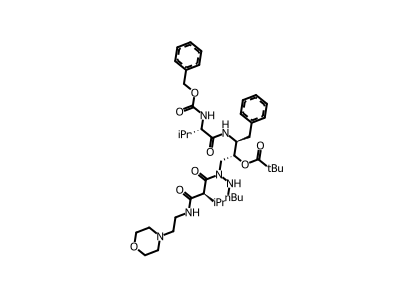 CCCCNN(C[C@@H](OC(=O)C(C)(C)C)[C@H](Cc1ccccc1)NC(=O)[C@@H](NC(=O)OCc1ccccc1)C(C)C)C(=O)[C@H](C(=O)NCCN1CCOCC1)C(C)C